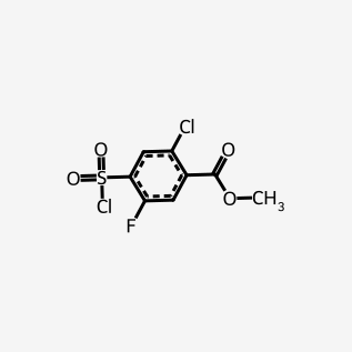 COC(=O)c1cc(F)c(S(=O)(=O)Cl)cc1Cl